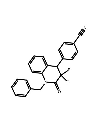 N#Cc1ccc(C2c3ccccc3N(Cc3ccccc3)C(=O)C2(F)F)cc1